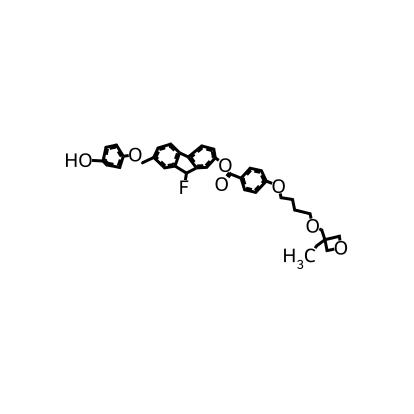 CCC1(COCCCCOc2ccc(C(=O)Oc3ccc4c(c3)C(F)c3cc(COc5ccc(O)cc5)ccc3-4)cc2)COC1